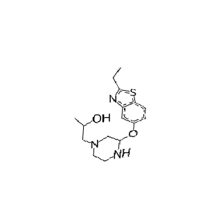 CCc1nc2cc(OC3CN(CC(C)O)CCN3)ccc2s1